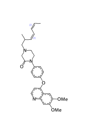 C/C=C\C=C/C(C)CN1CCN(c2ccc(Oc3ccnc4cc(OC)c(OC)cc34)cc2)C(=O)C1